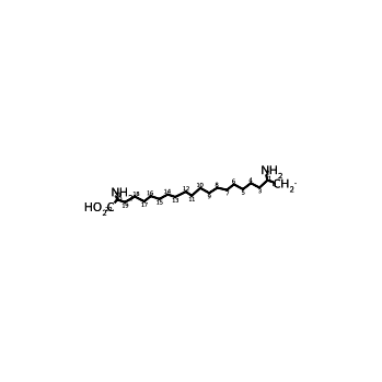 [CH2]C(N)CCCCCCCCCCCCCCCCCC(N)C(=O)O